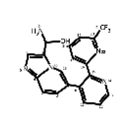 NC(O)c1cnc2ccc(-c3cccnc3-c3cccc(C(F)(F)F)n3)cn12